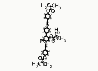 C=C(C)C(=O)Oc1ccc(C#Cc2ccc(-c3cc(F)c(C#Cc4ccc(OC(=O)C(=C)C)cc4)cc3OC(=O)C(=C)C)cc2)cc1